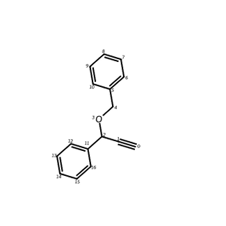 C#CC(OCc1ccccc1)c1ccccc1